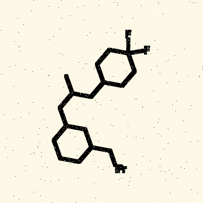 CC(C)CC1CCCC(CC(C)CC2CCC(F)(F)CC2)C1